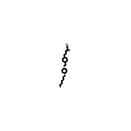 CCCCCCC[C@H]1CC[C@H](/C=C/C2CCC(CCC=C(F)C#N)CC2)CC1